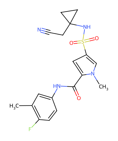 Cc1cc(NC(=O)c2cc(S(=O)(=O)NC3(CC#N)CC3)cn2C)ccc1F